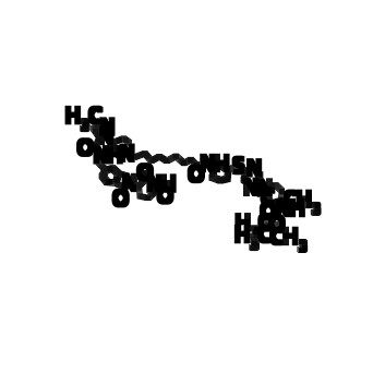 Cc1cc(C(=O)NCc2ccc3c(c2)CN(C2CCC(=O)NC2=O)C3=O)n(C2CCN(CCCCCCCCC(=O)Nc3cccc(Sc4cnc(N5CCC(C)(NC(=O)OC(C)(C)C)CC5)cn4)c3)CC2)n1